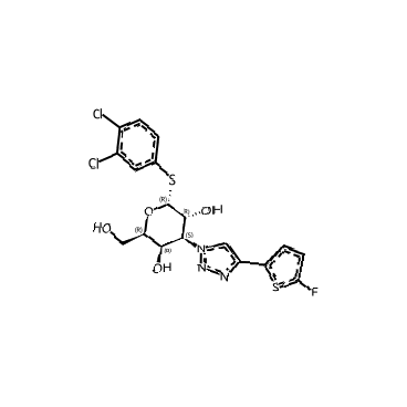 OC[C@H]1O[C@H](Sc2ccc(Cl)c(Cl)c2)[C@H](O)[C@@H](n2cc(-c3ccc(F)s3)nn2)[C@H]1O